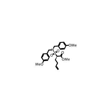 C=CCC[C@H](C(=O)OC)S(=O)(=O)N(Cc1ccc(OC)cc1)Cc1ccc(OC)cc1